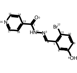 O=C(N/N=C/c1cc(O)ccc1Br)c1ccncc1